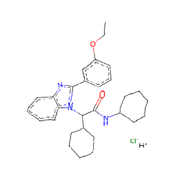 CCOc1cccc(-c2nc3ccccc3n2C(C(=O)NC2CCCCC2)C2CCCCC2)c1.[Cl-].[H+]